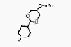 CCCCOC1COC(C2CCC(F)CC2)OC1